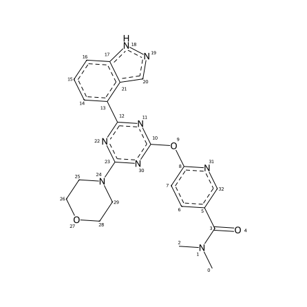 CN(C)C(=O)c1ccc(Oc2nc(-c3cccc4[nH]ncc34)nc(N3CCOCC3)n2)nc1